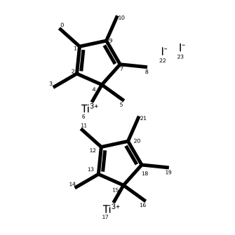 CC1=C(C)[C](C)([Ti+3])C(C)=C1C.CC1=C(C)[C](C)([Ti+3])C(C)=C1C.[I-].[I-]